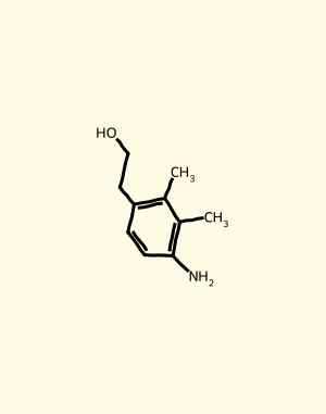 Cc1c(N)ccc(CCO)c1C